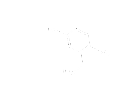 Cc1ccc([N+](=O)[O-])c(CC(=O)O)c1